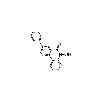 O=c1c2cc(-c3ccccc3)ccc2c2cccnc2n1O